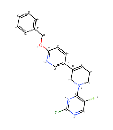 Fc1cnc(Cl)nc1N1CCC=C(c2ccc(OCc3ccccc3)nc2)C1